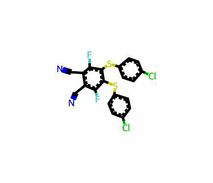 N#Cc1c(F)c(Sc2ccc(Cl)cc2)c(Sc2ccc(Cl)cc2)c(F)c1C#N